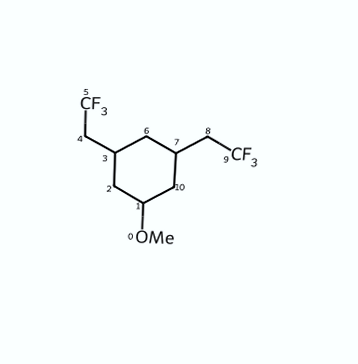 COC1CC(CC(F)(F)F)CC(CC(F)(F)F)C1